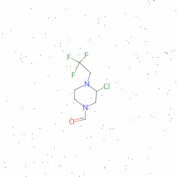 O=CN1CCN(CC(F)(F)F)C(Cl)C1